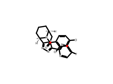 O=C(c1ccc(Cl)cc1Cl)N1[C@H]2CCC[C@@H]1c1nnc(-c3ncc(F)cn3)n1C2